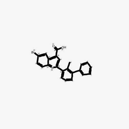 Cc1c(-c2ccccc2)cccc1-c1cc(C(=O)O)c2cc(Br)ccc2n1